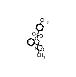 CC1=NC(COS(=O)(=O)c2ccc(C)cc2)(c2ccccc2)CO1